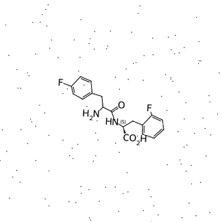 NC(Cc1ccc(F)cc1)C(=O)N[C@@H](Cc1ccccc1F)C(=O)O